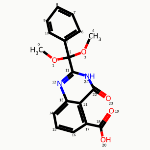 COC(OC)(c1ccccc1)c1nc2cccc(C(=O)O)c2c(=O)[nH]1